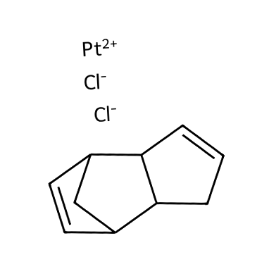 C1=CC2C3C=CC(C3)C2C1.[Cl-].[Cl-].[Pt+2]